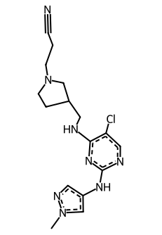 Cn1cc(Nc2ncc(Cl)c(NCC3CCN(CCC#N)C3)n2)cn1